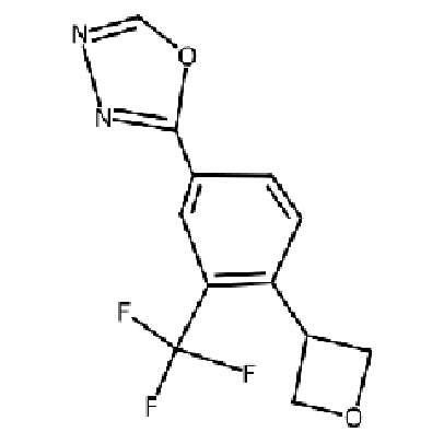 FC(F)(F)c1cc(-c2nnco2)ccc1C1COC1